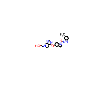 O=C(Nc1cccc(C(F)(F)F)c1)n1ccc2cc(Oc3ncnc4c3CCN(CCO)C4)ccc21